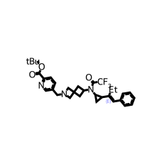 CC/C(=C\c1ccccc1)C1CC1N(C(=O)C(F)(F)F)C1CC2(C1)CN(Cc1ccc(C(=O)OC(C)(C)C)nc1)C2